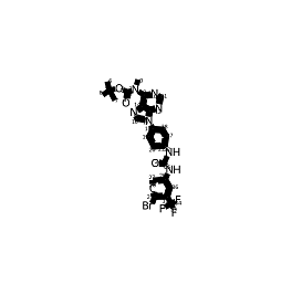 CN(C(=O)OC(C)(C)C)c1ncnc2c1ncn2-c1ccc(NC(=O)Nc2ccc(Br)c(C(F)(F)F)c2)cc1